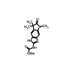 COC(=O)Nc1nc2cc3c(cc2[nH]1)C(C)(C)C(=O)N3C